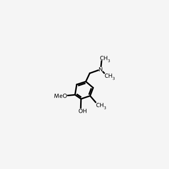 COc1cc(CN(C)C)cc(C)c1O